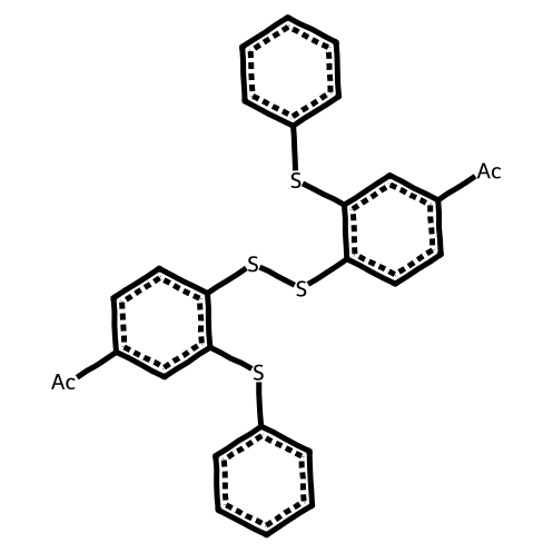 CC(=O)c1ccc(SSc2ccc(C(C)=O)cc2Sc2ccccc2)c(Sc2ccccc2)c1